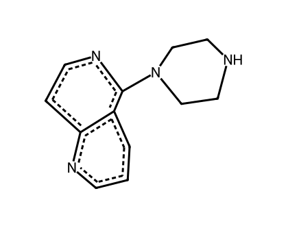 c1cnc2ccnc(N3CCNCC3)c2c1